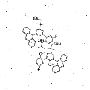 CC(CC(C)Oc1ccc(F)cc1-c1cc(C(C)(C)CC(C)(C)C)cc(-c2c3ccccc3cc3ccccc23)c1O)Oc1ccc(F)cc1-c1cc(C(C)(C)CC(C)(C)C)cc(-c2c3ccccc3cc3ccccc23)c1O